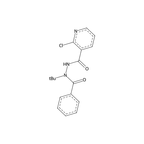 CC(C)(C)N(NC(=O)c1cccnc1Cl)C(=O)c1ccccc1